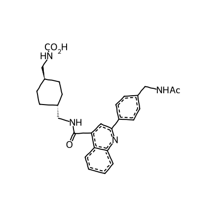 CC(=O)NCc1ccc(-c2cc(C(=O)NC[C@H]3CC[C@H](CNC(=O)O)CC3)c3ccccc3n2)cc1